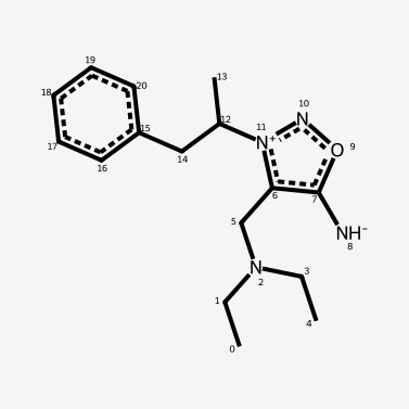 CCN(CC)Cc1c([NH-])on[n+]1C(C)Cc1ccccc1